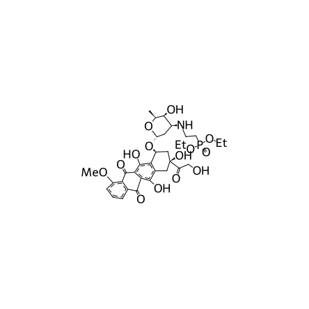 CCOP(=O)(CCN[C@H]1C[C@H](O[C@H]2C[C@](O)(C(=O)CO)Cc3c(O)c4c(c(O)c32)C(=O)c2c(OC)cccc2C4=O)O[C@@H](C)[C@H]1O)OCC